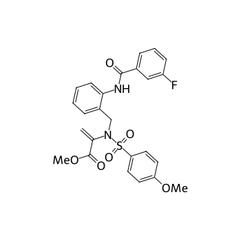 C=C(C(=O)OC)N(Cc1ccccc1NC(=O)c1cccc(F)c1)S(=O)(=O)c1ccc(OC)cc1